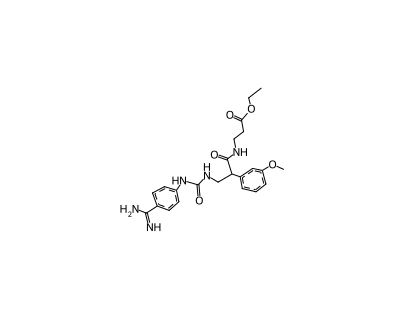 CCOC(=O)CCNC(=O)C(CNC(=O)Nc1ccc(C(=N)N)cc1)c1cccc(OC)c1